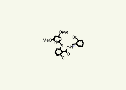 COc1cc(OC)nc(Sc2cccc(Cl)c2C(=O)O/N=C/c2ccccc2Br)n1